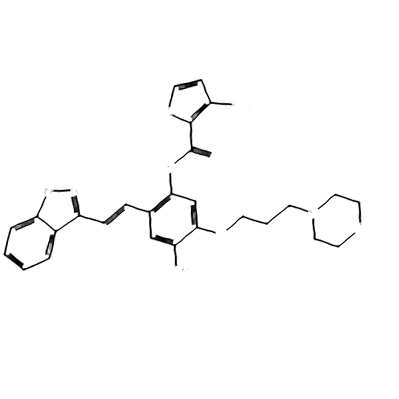 COc1cc(/C=C/c2n[nH]c3ccccc23)c(NC(=O)c2sccc2C)cc1OCCCN1CCOCC1